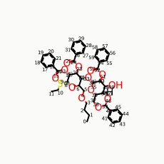 CCCCOCC1O[C@@H](SCC)[C@@H](OC(=O)c2ccccc2)C(OC(=O)c2ccccc2)[C@@H]1O[C@@H]1OC2COC(c3ccccc3)O[C@H]2C(O)[C@@H]1OC(=O)c1ccccc1